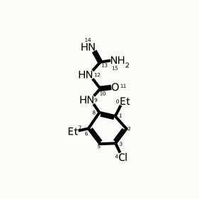 CCc1cc(Cl)cc(CC)c1NC(=O)NC(=N)N